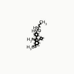 CCCCNC(=O)Nc1ccc(-c2c(N)c3cc(OC)ccc3n2C2CCC2)cc1